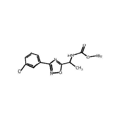 CC(NC(=O)OC(C)(C)C)c1nc(-c2cccc(Cl)c2)no1